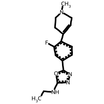 CCNc1nnc(-c2ccc(C3=CCN(C)CC3)c(F)c2)o1